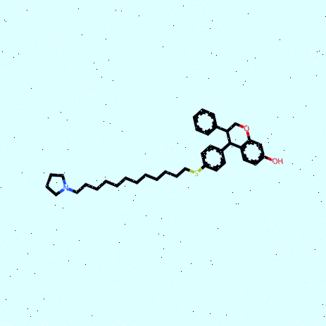 Oc1ccc2c(c1)OCC(c1ccccc1)C2c1ccc(SCCCCCCCCCCCCN2CCCC2)cc1